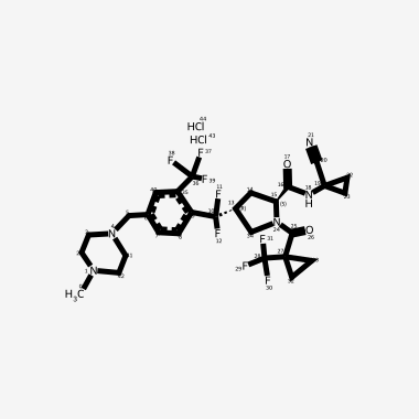 CN1CCN(Cc2ccc(C(F)(F)[C@@H]3C[C@@H](C(=O)NC4(C#N)CC4)N(C(=O)C4(C(F)(F)F)CC4)C3)c(C(F)(F)F)c2)CC1.Cl.Cl